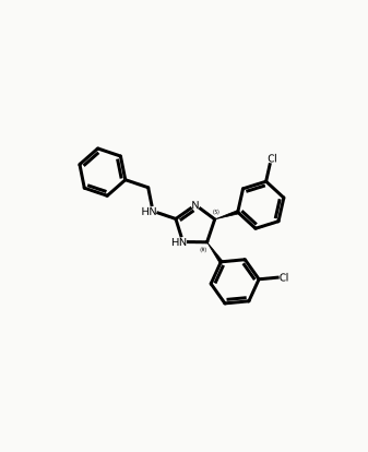 Clc1cccc([C@H]2NC(NCc3ccccc3)=N[C@H]2c2cccc(Cl)c2)c1